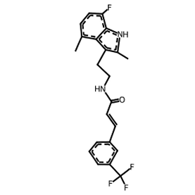 Cc1[nH]c2c(F)ccc(C)c2c1CCNC(=O)C=Cc1cccc(C(F)(F)F)c1